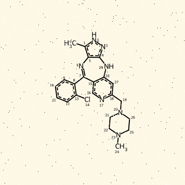 Cc1[nH]nc2c1N=C(c1ccccc1Cl)c1cnc(CN3CCN(C)CC3)cc1N2